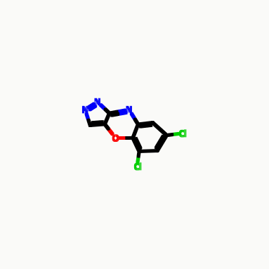 Clc1cc(Cl)c2oc3cnnc-3nc2c1